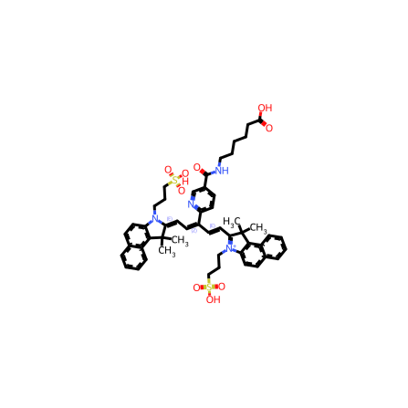 CC1(C)C(/C=C/C(=C/C=C2/N(CCCS(=O)(=O)O)c3ccc4ccccc4c3C2(C)C)c2ccc(C(=O)NCCCCCC(=O)O)cn2)=[N+](CCCS(=O)(=O)O)c2ccc3ccccc3c21